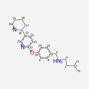 CC(C)CCNCc1ccc(Oc2ccc(C3CCCC[N]3)cn2)cc1